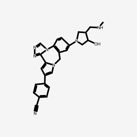 CNCC1CN(c2ccc3c(c2)Cn2cc(-c4ccc(C#N)cc4)cc2-c2nncn2-3)CC1O